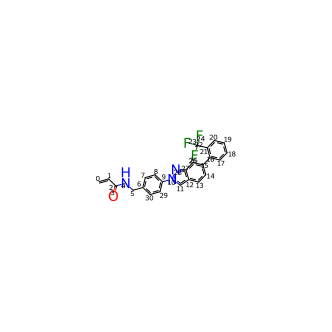 C=CC(=O)NCc1ccc(-n2cc3ccc(-c4ccccc4C(F)(F)F)cc3n2)cc1